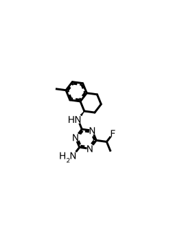 Cc1ccc2c(c1)[C@H](Nc1nc(N)nc(C(C)F)n1)CCC2